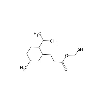 CC1CCC(C(C)C)C(CCC(=O)OCS)C1